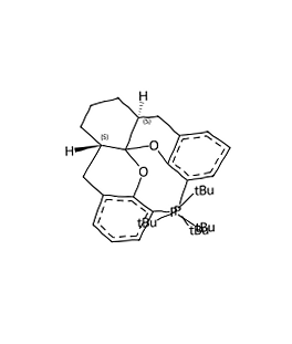 CC(C)(C)P(c1cccc2c1OC13Oc4c(cccc4P(C(C)(C)C)C(C)(C)C)C[C@@H]1CCC[C@H]3C2)C(C)(C)C